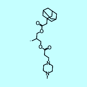 [CH2]C(COC(=O)CCN1CCN(C)CC1)COC(=O)CC12CC3CC(CC(C3)C1)C2